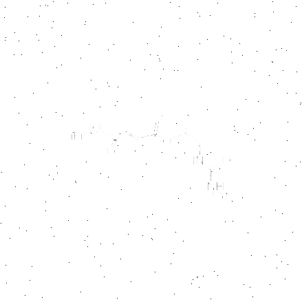 CC(C)OC(=O)/C=C/C(=O)OC[C@H](C)NC(N)=O